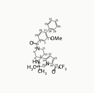 COc1cc(C(=O)N2CCC3(CC2)NC(C)(C)Cn2c(C(=O)C(F)(F)F)ccc23)ccc1-c1ccccc1